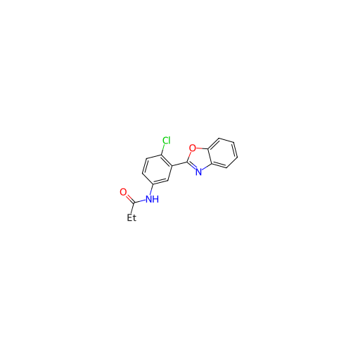 CCC(=O)Nc1ccc(Cl)c(-c2nc3ccccc3o2)c1